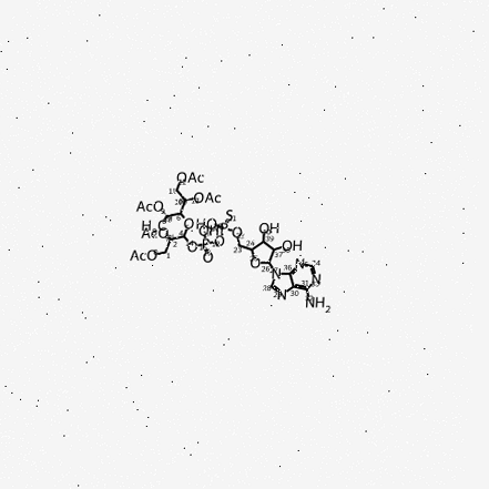 CC(=O)OC[C@@H](OC(C)=O)C(OC([C@H](C)OC(C)=O)[C@@H](COC(C)=O)OC(C)=O)OP(=O)(O)OP(O)(=S)OCC1OC(n2cnc3c(N)ncnc32)C(O)C1O